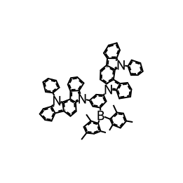 Cc1cc(C)c(B(c2cc(-n3c4ccccc4c4c3ccc3c5ccccc5n(-c5ccccc5)c34)cc(-n3c4ccccc4c4c3ccc3c5ccccc5n(-c5ccccc5)c34)c2)c2c(C)cc(C)cc2C)c(C)c1